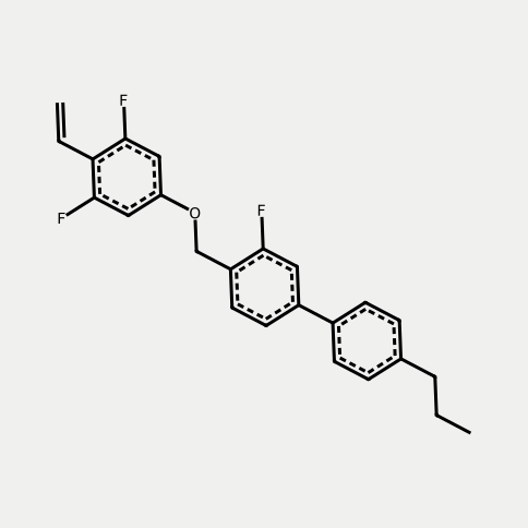 C=Cc1c(F)cc(OCc2ccc(-c3ccc(CCC)cc3)cc2F)cc1F